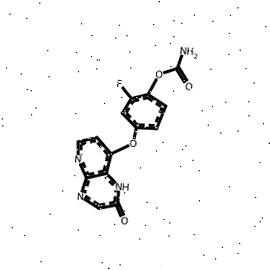 NC(=O)Oc1ccc(Oc2ccnc3ncc(=O)[nH]c23)cc1F